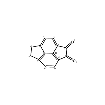 O=C1C(=O)c2ccc3c4c(ccc1c24)CC3